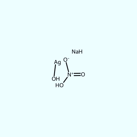 O=[N+]([O-])O.[NaH].[OH][Ag]